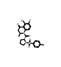 Cc1ccc(S(=O)(=O)N2CCC[C@H]2C(=O)N2c3ccc(F)c(Cl)c3C(=O)CC2C)cc1